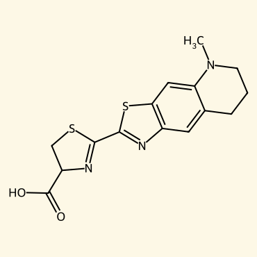 CN1CCCc2cc3nc(C4=NC(C(=O)O)CS4)sc3cc21